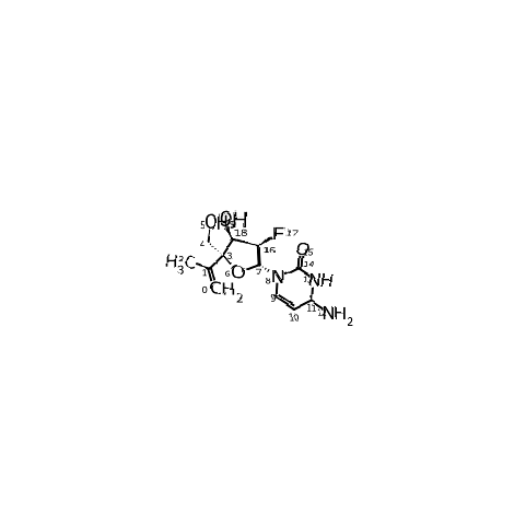 C=C(C)[C@]1(CO)O[C@@H](N2C=CC(N)NC2=O)[C@H](F)[C@@H]1O